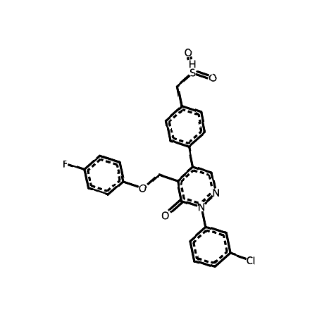 O=c1c(COc2ccc(F)cc2)c(-c2ccc(C[SH](=O)=O)cc2)cnn1-c1cccc(Cl)c1